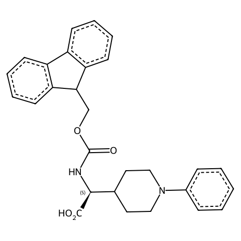 O=C(N[C@H](C(=O)O)C1CCN(c2ccccc2)CC1)OCC1c2ccccc2-c2ccccc21